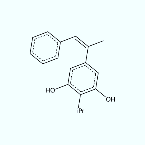 CC(=Cc1ccccc1)c1cc(O)c(C(C)C)c(O)c1